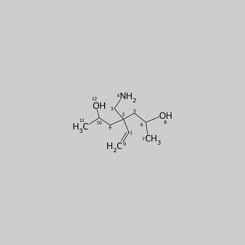 C=CC(CN)(CC(C)O)CC(C)O